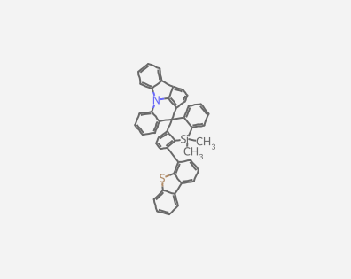 C[Si]1(C)c2ccccc2C2(c3ccccc3-n3c4ccccc4c4cccc2c43)c2cccc(-c3cccc4c3sc3ccccc34)c21